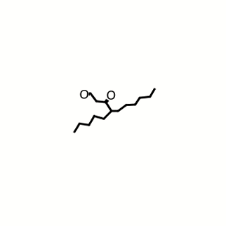 CCCCCCC(CCCCC)C(=O)CC=O